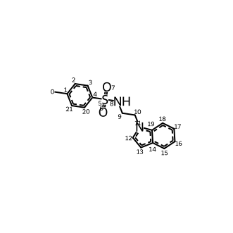 Cc1ccc(S(=O)(=O)NCCn2ccc3ccccc32)cc1